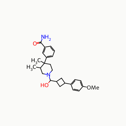 COc1ccc(C2CC(C(O)N3CCC(C)(c4cccc(C(N)=O)c4)C(C)C3)C2)cc1